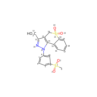 CS(=O)(=O)c1cccc(-n2nc(C(=O)O)c3c2-c2ccccc2S(=O)(=O)C3)c1